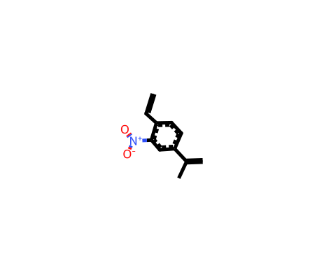 C=Cc1ccc(C(=C)C)cc1[N+](=O)[O-]